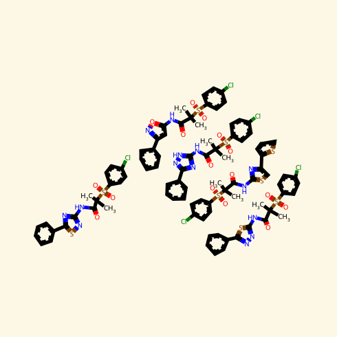 CC(C)(C(=O)Nc1cc(-c2ccccc2)no1)S(=O)(=O)c1ccc(Cl)cc1.CC(C)(C(=O)Nc1nc(-c2ccccc2)n[nH]1)S(=O)(=O)c1ccc(Cl)cc1.CC(C)(C(=O)Nc1nc(-c2cccs2)cs1)S(=O)(=O)c1ccc(Cl)cc1.CC(C)(C(=O)Nc1nnc(-c2ccccc2)s1)S(=O)(=O)c1ccc(Cl)cc1.CC(C)(C(=O)Nc1nsc(-c2ccccc2)n1)S(=O)(=O)c1ccc(Cl)cc1